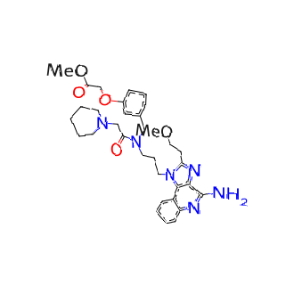 COCCc1nc2c(N)nc3ccccc3c2n1CCCN(Cc1cccc(OCC(=O)OC)c1)C(=O)CN1CCCCC1